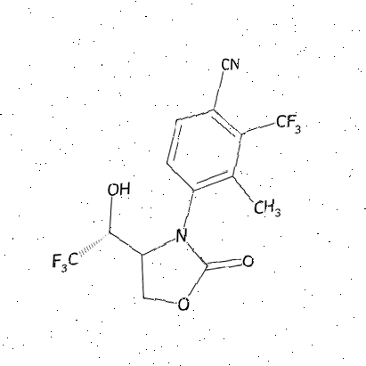 Cc1c(N2C(=O)OCC2[C@@H](O)C(F)(F)F)ccc(C#N)c1C(F)(F)F